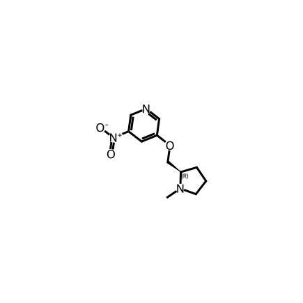 CN1CCC[C@@H]1COc1cncc([N+](=O)[O-])c1